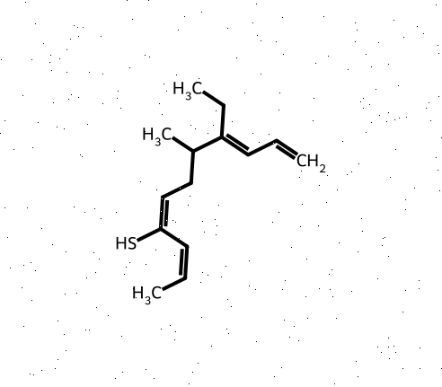 C=C/C=C(\CC)C(C)C/C=C(S)\C=C/C